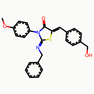 COc1ccc(N2C(=O)C(=Cc3ccc(CO)cc3)SC2=NCc2ccccc2)cc1